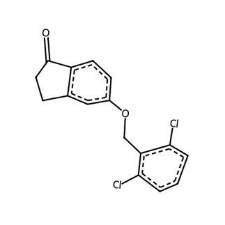 O=C1CCc2cc(OCc3c(Cl)cccc3Cl)ccc21